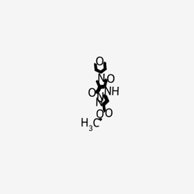 CCOC(=O)c1cc2[nH]c3c(c(=O)n2n1)CN(C1CCOCC1)C3=O